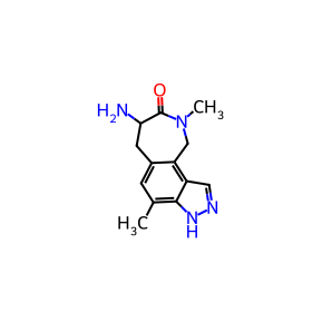 Cc1cc2c(c3cn[nH]c13)CN(C)C(=O)C(N)C2